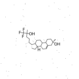 C[C@H](CCC(C)(O)C(F)(F)F)[C@H]1CC[C@H]2C3CC=C4C[C@@](C)(O)CC[C@]4(C)C3CC[C@]12C